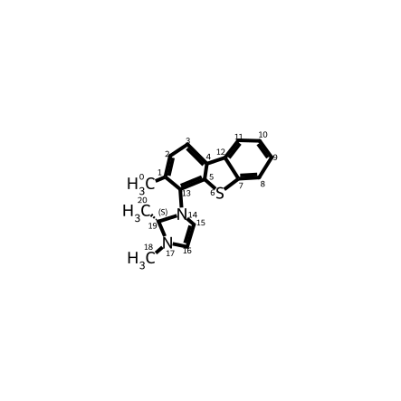 Cc1ccc2c(sc3ccccc32)c1N1C=CN(C)[C@@H]1C